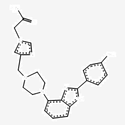 CC(C)(C)c1ccc(-c2nc3c(N4CCN(Cc5cn(CC(N)=O)cn5)CC4)cccc3[nH]2)cc1